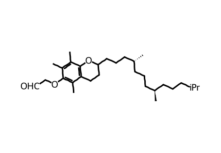 Cc1c(C)c2c(c(C)c1OCC=O)CCC(CCC[C@H](C)CCC[C@H](C)CCCC(C)C)O2